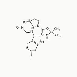 CC(C)(C)OC(=O)N1CC[C@H](O)[C@H]1[C@H](CN=O)c1c[nH]c2cc(F)ccc12